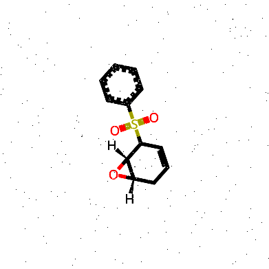 O=S(=O)(c1ccccc1)C1C=CC[C@@H]2O[C@H]12